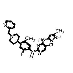 Cc1cc(Nc2nc(Nc3cc(C)c(C4CCN(Cc5ccccn5)CC4)cc3F)ncc2Cl)n[nH]1